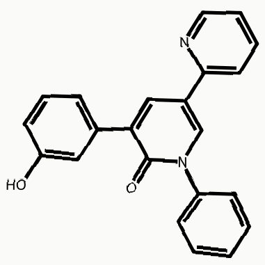 O=c1c(-c2cccc(O)c2)cc(-c2ccccn2)cn1-c1ccccc1